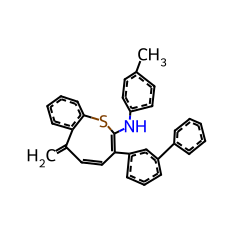 C=C1/C=C\C(c2cccc(-c3ccccc3)c2)=C(\Nc2ccc(C)cc2)Sc2ccccc21